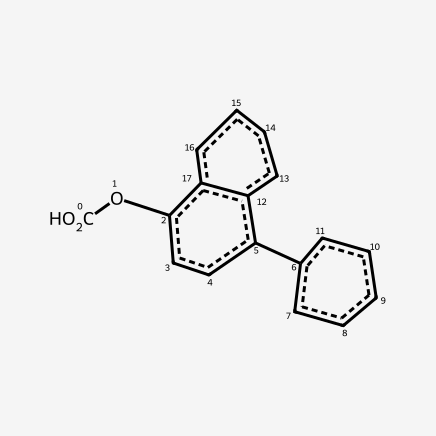 O=C(O)Oc1ccc(-c2ccccc2)c2ccccc12